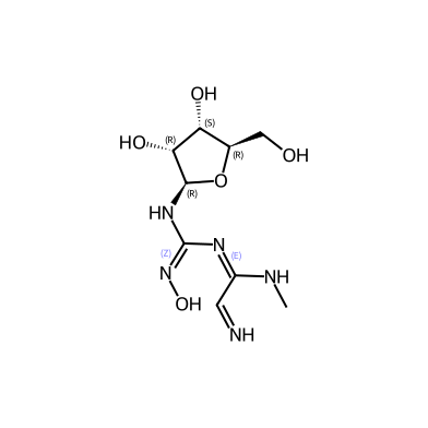 CN/C(C=N)=N/C(=N\O)N[C@@H]1O[C@H](CO)[C@@H](O)[C@H]1O